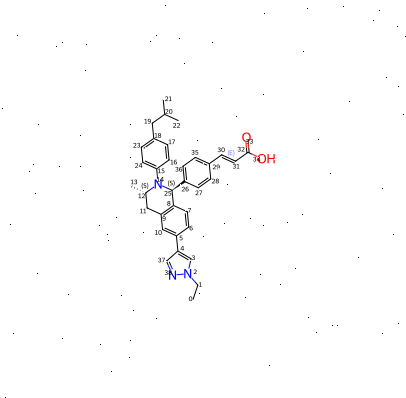 CCn1cc(-c2ccc3c(c2)C[C@H](C)N(c2ccc(CC(C)C)cc2)[C@H]3c2ccc(/C=C/C(=O)O)cc2)cn1